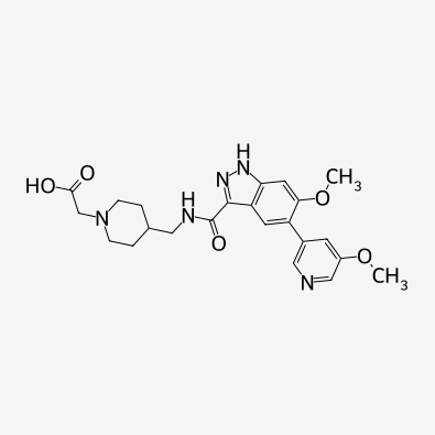 COc1cncc(-c2cc3c(C(=O)NCC4CCN(CC(=O)O)CC4)n[nH]c3cc2OC)c1